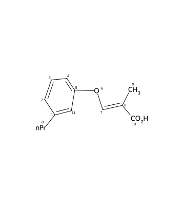 CCCc1cccc(O/C=C(\C)C(=O)O)c1